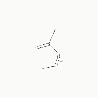 [CH]=C(C)/C=C\C